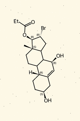 CCC(=O)O[C@H]1[C@H](Br)CC2C3C(CC[C@@]21C)[C@H]1CC[C@H](O)CC1=C[C@@H]3O